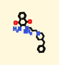 NC1=C(N(N)CCCN2CCC(Cc3ccccc3)CC2)C(=O)c2ccccc2C1=O